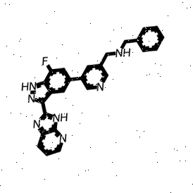 Fc1cc(-c2cncc(CNCc3ccccc3)c2)cc2c(-c3nc4cccnc4[nH]3)n[nH]c12